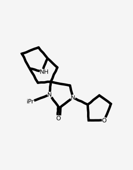 CC(C)N1C(=O)N(C2CCOC2)CC12CC1CCC(C2)N1